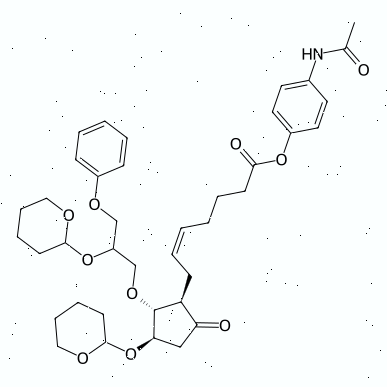 CC(=O)Nc1ccc(OC(=O)CCC/C=C\C[C@H]2C(=O)C[C@@H](OC3CCCCO3)[C@@H]2OCC(COc2ccccc2)OC2CCCCO2)cc1